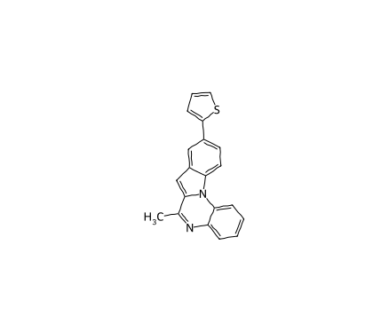 Cc1nc2ccccc2n2c1cc1cc(-c3cccs3)ccc12